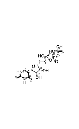 C=C1NC=C([C@@H]2O[C@H](CCP(=C)(O)OP(C)(=O)OP(=C)(O)O)C(O)[C@@H]2O)C(=C)N1